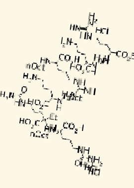 CCC(N)(CCCNC(N)=O)C(=O)O.CCCCCCCCNC(CCCN)C(=O)O.CCCCCCCCNC(CCCNC(=N)N)C(=O)O.CCCCCCCCNC(CCCNC(N)=O)C(=O)O.CCCNC(CCCN)C(=O)O.CCOC(=O)C(N)CCCNC(=N)N.Cl.Cl.Cl.Cl